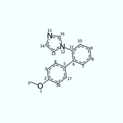 COc1ccc(-c2ccccc2-n2ccnc2)cc1